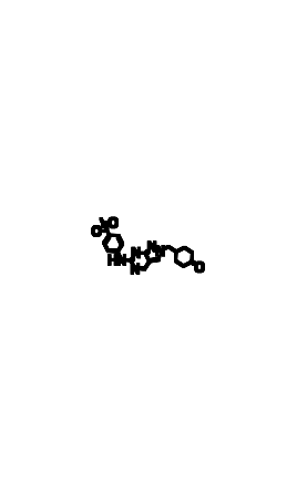 CS(=O)(=O)c1ccc(Nc2ncc3cn(CC4CCC(=O)CC4)nc3n2)cc1